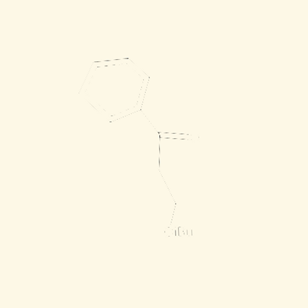 CC(C)COCCC(=O)c1ccccc1